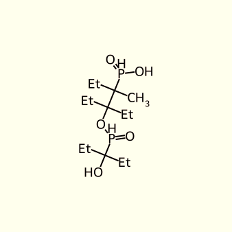 CCC(O)(CC)[PH](=O)OC(CC)(CC)C(C)(CC)[PH](=O)O